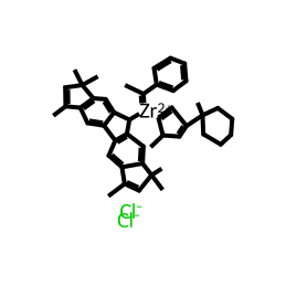 CC1=CC(C)(C)c2cc3c(cc21)-c1cc2c(cc1[CH]3/[Zr+2]([C]1=CC(C3(C)CCCCC3)=CC1C)=[C](\C)c1ccccc1)C(C)(C)C=C2C.[Cl-].[Cl-]